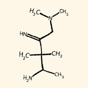 CC(N)C(C)(C)C(=N)CN(C)C